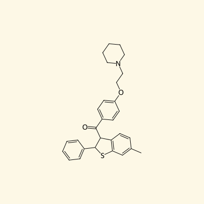 Cc1ccc2c(c1)SC(c1ccccc1)C2C(=O)c1ccc(OCCN2CCCCC2)cc1